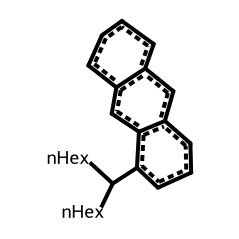 CCCCCCC(CCCCCC)c1cccc2cc3ccccc3cc12